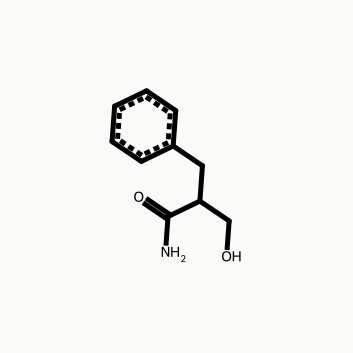 NC(=O)C(CO)Cc1ccccc1